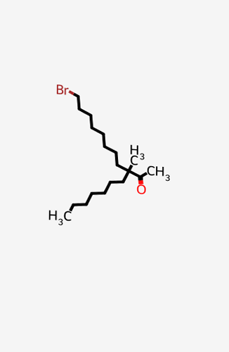 CCCCCCCC(C)(CCCCCCCCBr)C(C)=O